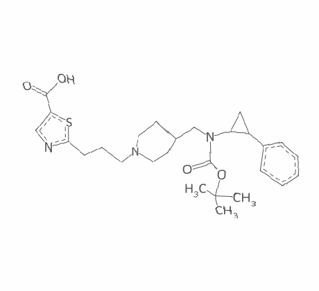 CC(C)(C)OC(=O)N(CC1CCN(CCCc2ncc(C(=O)O)s2)CC1)C1CC1c1ccccc1